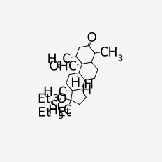 CC[Si](CC)(CC)OC1(C)CC[C@H]2[C@@H]3CCC4C(C)C(=O)CC(C)[C@]4(C=O)[C@@H]3CC[C@@]21C